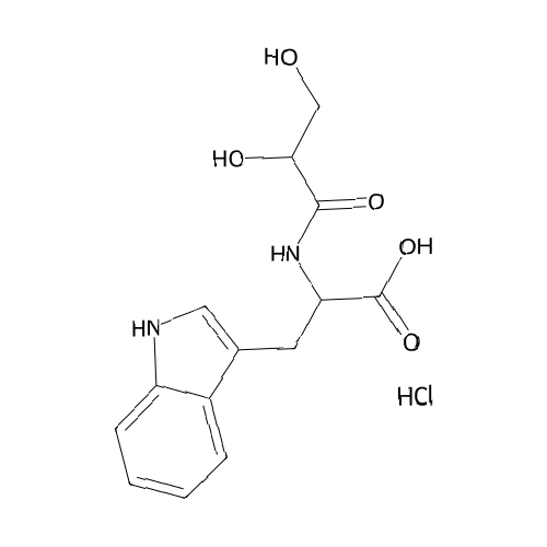 Cl.O=C(NC(Cc1c[nH]c2ccccc12)C(=O)O)C(O)CO